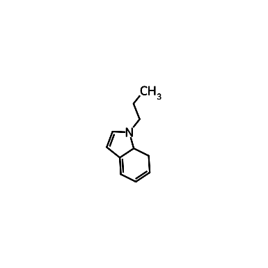 CCCN1C=CC2=CC=CCC21